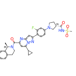 C[C@@H]1c2ccccc2CCN1C(=O)c1cc(C2CC2)n2nc(-c3ccc(N4CC[C@H](C(=O)NS(C)(=O)=O)C4)cc3F)cc2n1